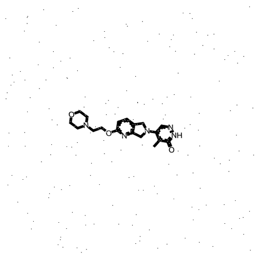 Cc1c(N2Cc3ccc(OCCN4CCOCC4)nc3C2)cn[nH]c1=O